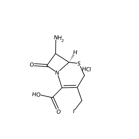 Cl.NC1C(=O)N2C(C(=O)O)=C(CI)CS[C@H]12